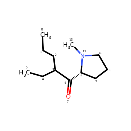 CCCC(CC)C(=O)[C@H]1CCCN1C